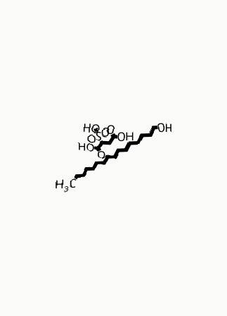 CCCCCCCCCCCCCCCCO.O=C(O)CC(C(=O)O)S(=O)(=O)O